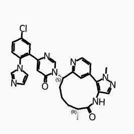 C[C@@H]1CCC[C@H](n2cnc(-c3cc(Cl)ccc3-n3ccnc3)cc2=O)c2cc(ccn2)-c2c(cnn2C)NC1=O